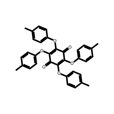 Cc1ccc(OC2=C(Oc3ccc(C)cc3)C(=O)C(Oc3ccc(C)cc3)=C(Oc3ccc(C)cc3)C2=O)cc1